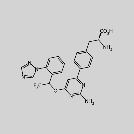 Nc1nc(OC(c2ccccc2-n2cncn2)C(F)(F)F)cc(-c2ccc(C[C@H](N)C(=O)O)cc2)n1